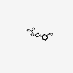 O=Cc1cccc(N2CC(NC(=O)O)C2)c1